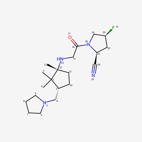 CC1(C)[C@@H](CN2CCCC2)CC[C@@]1(C)NCC(=O)N1C[C@@H](F)C[C@H]1C#N